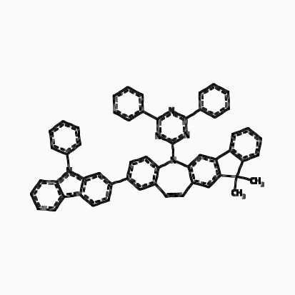 CC1(C)c2ccccc2-c2cc3c(cc21)C=Cc1cc(-c2ccc4c5ccccc5n(-c5ccccc5)c4c2)ccc1N3c1nc(-c2ccccc2)nc(-c2ccccc2)n1